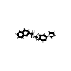 O=C(Nc1nc2ccc(-n3ccnc3)cc2s1)c1ccc2ccccc2c1